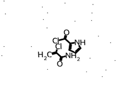 C=C(Cl)C(N)=O.O=C(Cl)c1ccc[nH]1